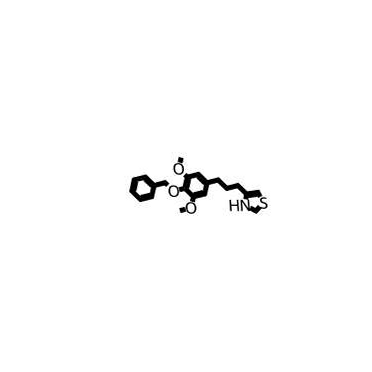 COc1cc(CCCC2=CSCN2)cc(OC)c1OCc1ccccc1